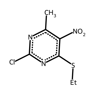 CCSc1nc(Cl)nc(C)c1[N+](=O)[O-]